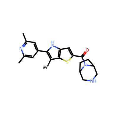 Cc1cc(-c2[nH]c3cc(C(=O)N4C5CCC4CNC5)sc3c2C(C)C)cc(C)n1